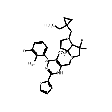 CCOC(=O)C1=C(CN2CC(F)(F)C3C2CCN3CC2(CC(=O)O)CC2)NC(c2nccs2)=N[C@H]1c1cccc(F)c1C